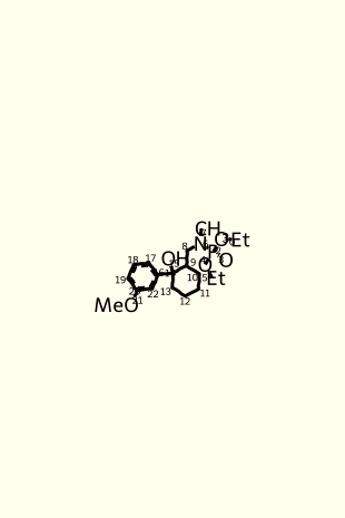 CCOP(=O)(OCC)N(C)CC1CCCCC1(O)c1cccc(OC)c1